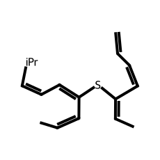 C=C/C=C\C(=C/C)SC(/C=C\C)=C/C=C\C(C)C